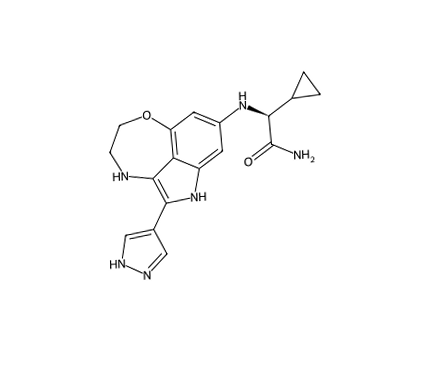 NC(=O)[C@@H](Nc1cc2c3c(c(-c4cn[nH]c4)[nH]c3c1)NCCO2)C1CC1